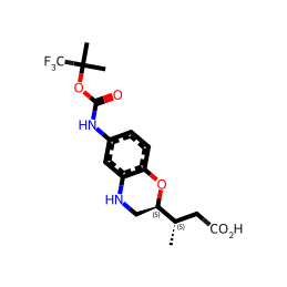 C[C@@H](CC(=O)O)[C@H]1CNc2cc(NC(=O)OC(C)(C)C(F)(F)F)ccc2O1